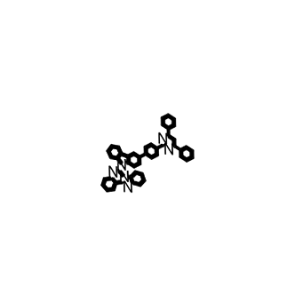 c1ccc(-c2cc(-c3ccccc3)nc(-c3ccc(-c4ccc5c(c4)c4ccccc4n5-c4nc5ccccc5c5nc6ccccc6n45)cc3)n2)cc1